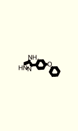 Nc1c[nH]nc1-c1ccc(Oc2ccccc2)cc1